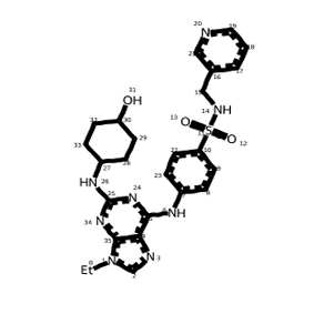 CCn1cnc2c(Nc3ccc(S(=O)(=O)NCc4cccnc4)cc3)nc(NC3CCC(O)CC3)nc21